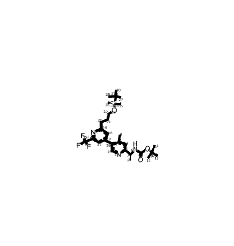 Cc1cc([C@H](C)NC(=O)OC(C)(C)C)ncc1-c1cc(CCCO[Si](C)(C)C(C)(C)C)nc(C(F)(F)F)c1